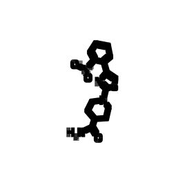 NC(=O)C1CCN(c2nc(-c3ccccc3[N+](=O)[O-])cs2)CC1